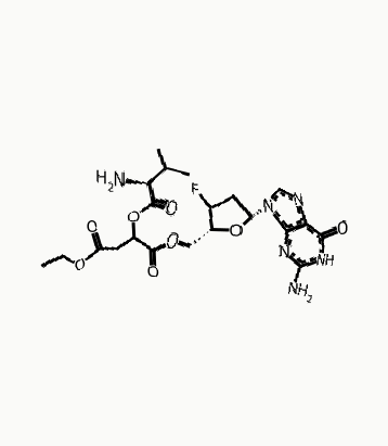 CCOC(=O)CC(OC(=O)[C@@H](N)C(C)C)C(=O)OC[C@H]1O[C@@H](n2cnc3c(=O)[nH]c(N)nc32)CC1F